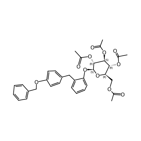 CC(=O)OC[C@H]1O[C@@H](Oc2ccccc2Cc2ccc(OCc3ccccc3)cc2)[C@H](OC(C)=O)[C@@H](OC(C)=O)[C@@H]1OC(C)=O